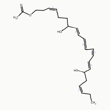 CC/C=C\CC(O)/C=C/C=C\C=C\C=C\C(O)CC/C=C\CCOC(C)=O